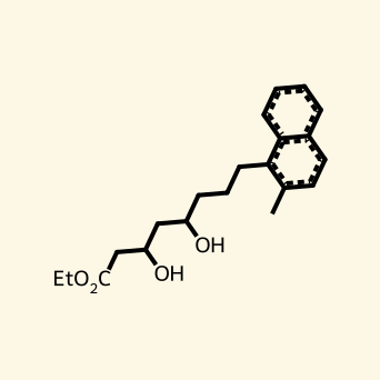 CCOC(=O)CC(O)CC(O)CCCc1c(C)ccc2ccccc12